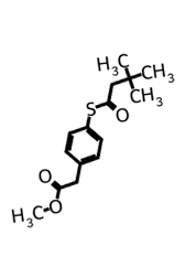 COC(=O)Cc1ccc(SC(=O)CC(C)(C)C)cc1